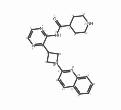 O=C(Nc1nccnc1C1CN(c2ccc3ccccc3n2)C1)C1CCNCC1